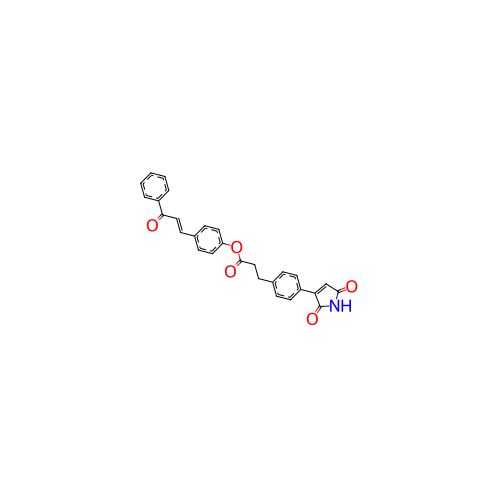 O=C1C=C(c2ccc(CCC(=O)Oc3ccc(C=CC(=O)c4ccccc4)cc3)cc2)C(=O)N1